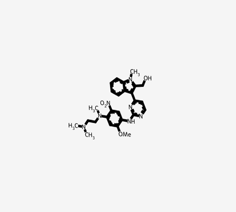 COc1cc(N(C)CCN(C)C)c([N+](=O)[O-])cc1Nc1nccc(-c2c(CO)n(C)c3ccccc23)n1